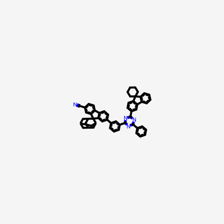 N#Cc1ccc2c(c1)C1(c3cc(-c4cccc(-c5nc(-c6ccccc6)nc(-c6ccc7c(c6)-c6ccccc6C76CCCCC6)n5)c4)ccc3-2)C2CC3CC(C2)CC1C3